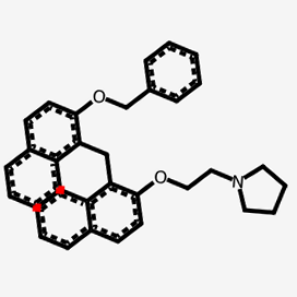 c1ccc(COc2ccc3ccccc3c2Cc2c(OCCN3CCCC3)ccc3ccccc23)cc1